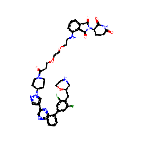 O=C1CCC(N2C(=O)c3cccc(NCCOCCOCCC(=O)N4CCC(n5cc(-c6cnc7cccc(-c8cc(F)c(CC9CNCCO9)c(F)c8)c7n6)cn5)CC4)c3C2=O)C(=O)N1